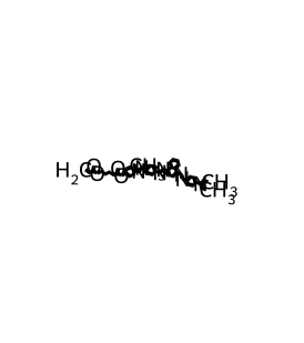 C=CC(=O)OCCCCC(=O)OC1=CCC(C)(/N=N/c2ccc(/N=N/c3ccc(/N=N/c4ccc(N(CC)CC)cc4)c4ccccc34)cc2)C=C1